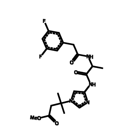 COC(=O)CC(C)(C)n1cnc(NC(=O)C(C)NC(=O)Cc2cc(F)cc(F)c2)c1